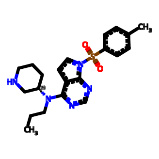 CCCN(c1ncnc2c1ccn2S(=O)(=O)c1ccc(C)cc1)[C@H]1CCCNC1